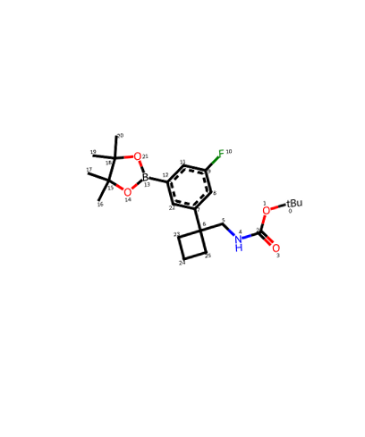 CC(C)(C)OC(=O)NCC1(c2cc(F)cc(B3OC(C)(C)C(C)(C)O3)c2)CCC1